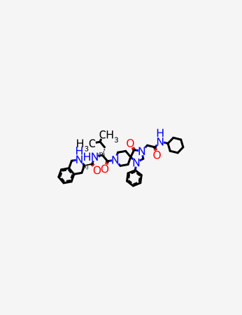 CC(C)C[C@@H](NC(=O)[C@H]1Cc2ccccc2CN1)C(=O)N1CCC2(CC1)C(=O)N(CC(=O)NC1CCCCC1)CN2c1ccccc1